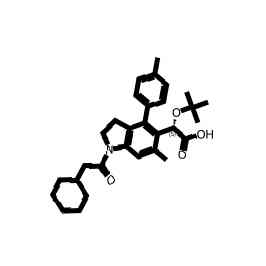 Cc1ccc(-c2c3c(cc(C)c2[C@H](OC(C)(C)C)C(=O)O)N(C(=O)CC2CCCCC2)CC3)cc1